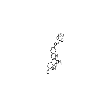 Cc1nc2cc(OCC(=O)OC(C)(C)C)ccc2cc1C1CCC(=O)NC1=O